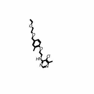 CCOCCOCc1ccc(OCCNc2ncnc(C)c2Cl)c(C)c1